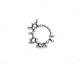 O=C1NCCCCOc2nc(c(F)cc2F)Nc2cc([nH]n2)[C@H]2CC[C@H](C2)O1